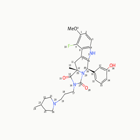 COc1ccc2[nH]c3c(c2c1F)C[C@@]1(C)C(=O)N(CCCN2CCC(C)CC2)C(=O)N1[C@@H]3c1cccc(O)c1